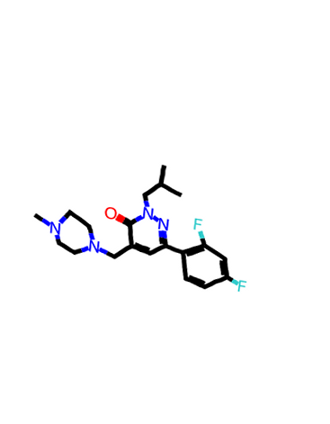 CC(C)Cn1nc(-c2ccc(F)cc2F)cc(CN2CCN(C)CC2)c1=O